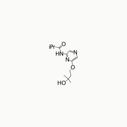 CC(C)C(=O)Nc1cncc(OCCC(C)(C)O)n1